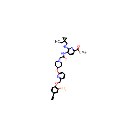 C#Cc1ccc(OCc2cccc(OC3CCN(CC(=O)Nc4ccc(C(=O)OC)nc4NCC4(CC#N)CC4)CC3)n2)c(P)c1